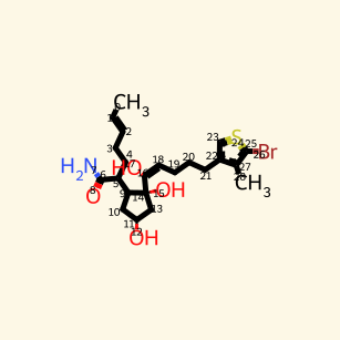 CC=CCCC(C(N)=O)C1C[C@H](O)C[C@@]1(O)/C(O)=C\CCCc1csc(Br)c1C